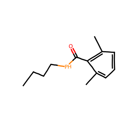 CCCCPC(=O)c1c(C)cccc1C